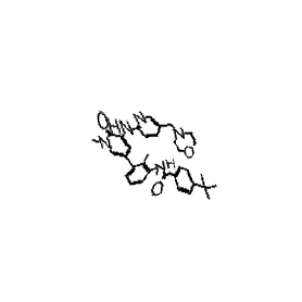 Cc1c(NC(=O)c2ccc(C(C)(C)C)cc2)cccc1-c1cc(Nc2ccc(CN3CCOCC3)cn2)c(=O)n(C)c1